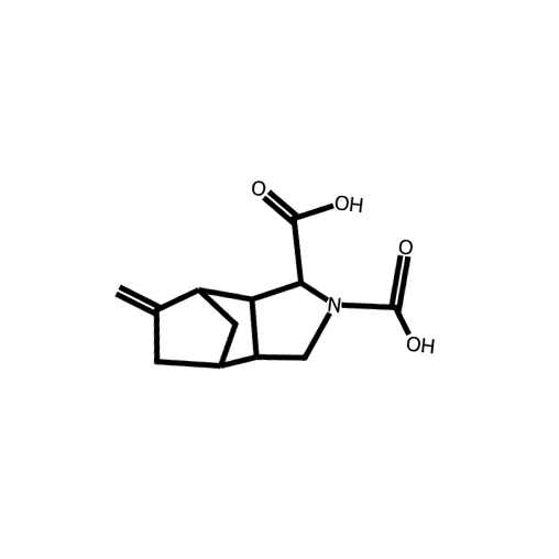 C=C1CC2CC1C1C2CN(C(=O)O)C1C(=O)O